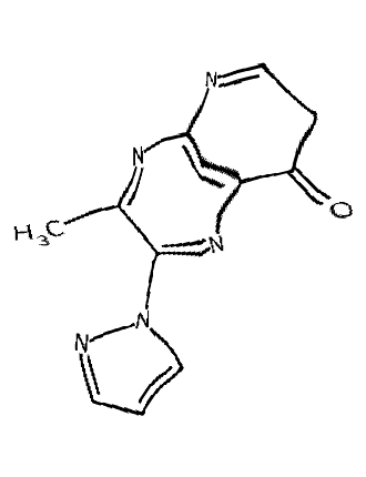 Cc1nc2c(nc1-n1cccn1)C(=O)CC=N2